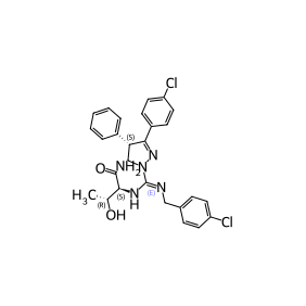 C[C@@H](O)[C@H](N/C(=N\Cc1ccc(Cl)cc1)N1C[C@H](c2ccccc2)C(c2ccc(Cl)cc2)=N1)C(N)=O